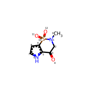 CN1CC(=O)c2[nH]ccc2S1(=O)=O